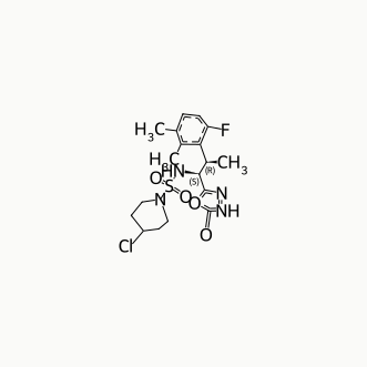 Cc1ccc(F)c([C@@H](C)[C@H](NS(=O)(=O)N2CCC(Cl)CC2)c2n[nH]c(=O)o2)c1C